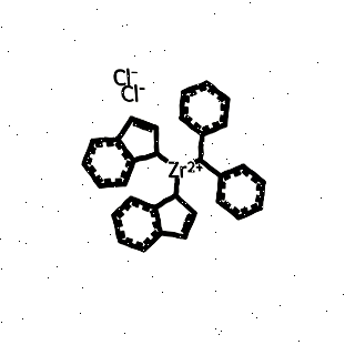 C1=C[CH]([Zr+2]([CH]2C=Cc3ccccc32)[CH](c2ccccc2)c2ccccc2)c2ccccc21.[Cl-].[Cl-]